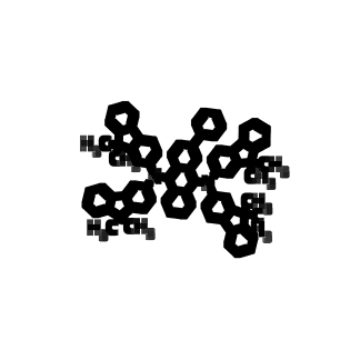 CC1(C)c2ccccc2-c2cc(N(c3ccc4c(c3)C(C)(C)c3ccccc3-4)c3c4ccccc4c(N(c4ccc5c(c4)C(C)(C)c4ccccc4-5)c4ccc5c(c4)C(C)(C)c4ccccc4-5)c4cc(-c5ccccc5)ccc34)ccc21